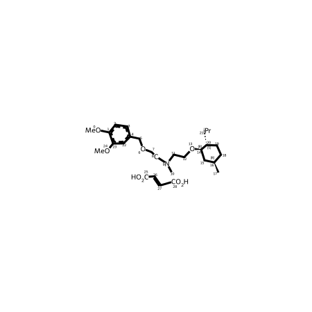 COc1ccc(COCCN(C)CCO[C@@H]2C[C@H](C)CC[C@H]2C(C)C)cc1OC.O=C(O)C=CC(=O)O